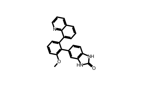 COc1cccc(-c2cccc3cccnc23)c1-c1ccc2[nH]c(=O)[nH]c2c1